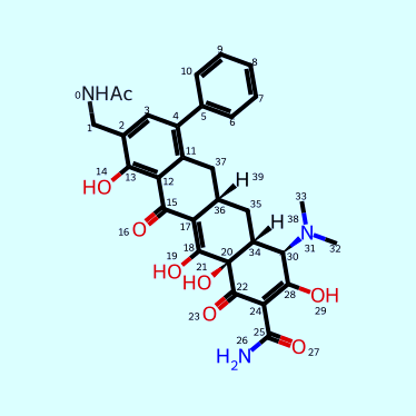 CC(=O)NCc1cc(-c2ccccc2)c2c(c1O)C(=O)C1=C(O)[C@@]3(O)C(=O)C(C(N)=O)=C(O)[C@H](N(C)C)[C@H]3C[C@H]1C2